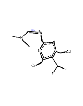 CN(C)/C=N\c1nc(Cl)c(C(F)F)c(Cl)n1